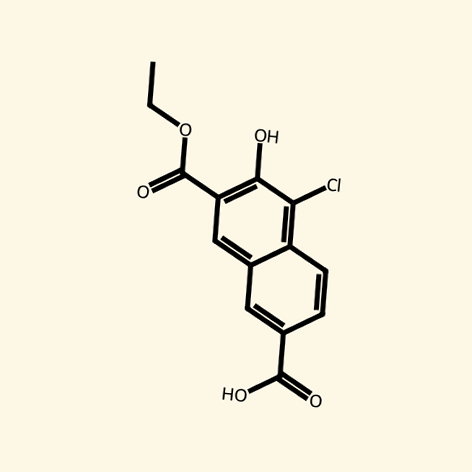 CCOC(=O)c1cc2cc(C(=O)O)ccc2c(Cl)c1O